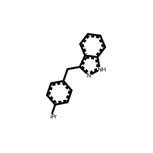 CC(C)c1ccc(Cc2n[nH]c3ccc[c]c23)cc1